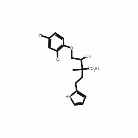 CCOC(=O)C(C)(CCc1ccc[nH]1)C(O)COc1ccc(Cl)cc1Cl